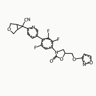 N#CC1(c2ccc(-c3c(F)cc(N4CC(COc5ccon5)OC4=O)c(F)c3F)cn2)C2COCC21